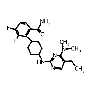 CCc1cnc(NC2CCC(c3c(C(N)=O)ccc(F)c3F)CC2)nc1N(C)C